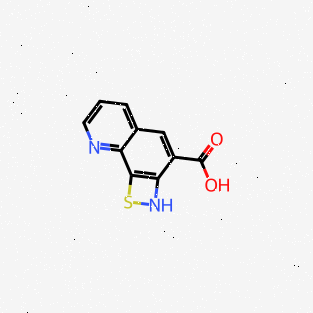 O=C(O)c1cc2cccnc2c2s[nH]c12